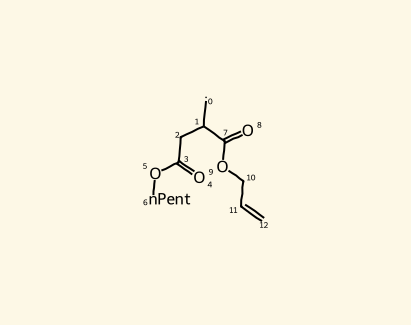 [CH2]C(CC(=O)OCCCCC)C(=O)OCC=C